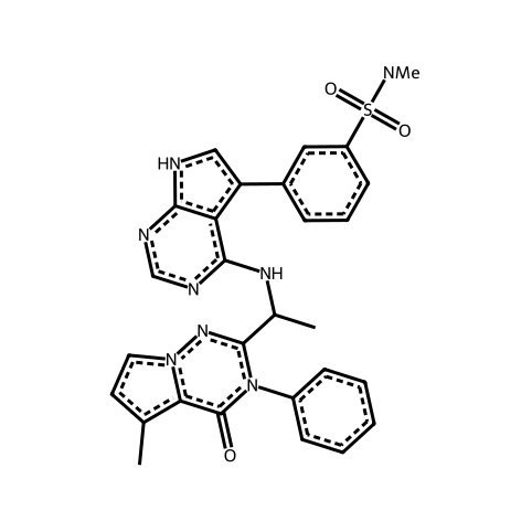 CNS(=O)(=O)c1cccc(-c2c[nH]c3ncnc(NC(C)c4nn5ccc(C)c5c(=O)n4-c4ccccc4)c23)c1